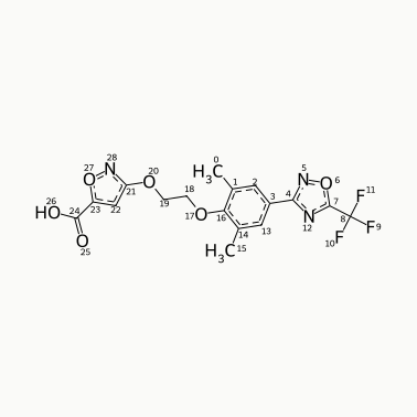 Cc1cc(-c2noc(C(F)(F)F)n2)cc(C)c1OCCOc1cc(C(=O)O)on1